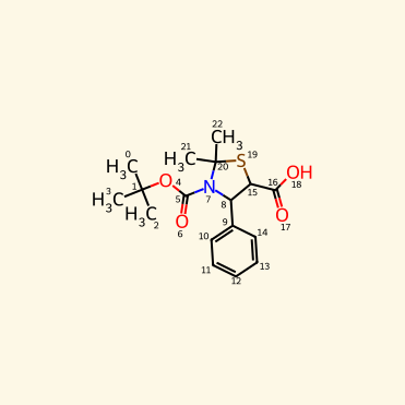 CC(C)(C)OC(=O)N1C(c2ccccc2)C(C(=O)O)SC1(C)C